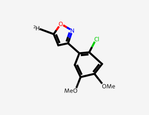 [2H]c1cc(-c2cc(OC)c(OC)cc2Cl)no1